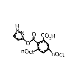 CCCCCCCCc1cc(CCCCCCCC)c(C(=O)Oc2cc[nH]n2)c(C(=O)O)c1